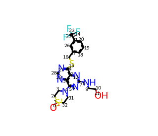 [O-][S+]1CCN(c2nc(NCCO)nc3c(SCc4cccc(C(F)(F)F)c4)ncnc23)CC1